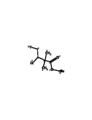 CCCCOC(=O)C(C)(C)C(CC)CF